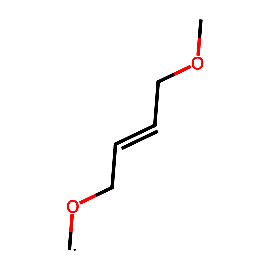 [CH2]OC/C=C/COC